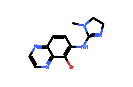 CN1CCN=C1Nc1ccc2nccnc2c1Br